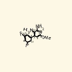 COc1cc(-c2cc(F)cc(F)c2)c(N)c(N)n1